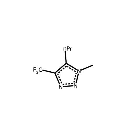 CCCc1c(C(F)(F)F)nnn1C